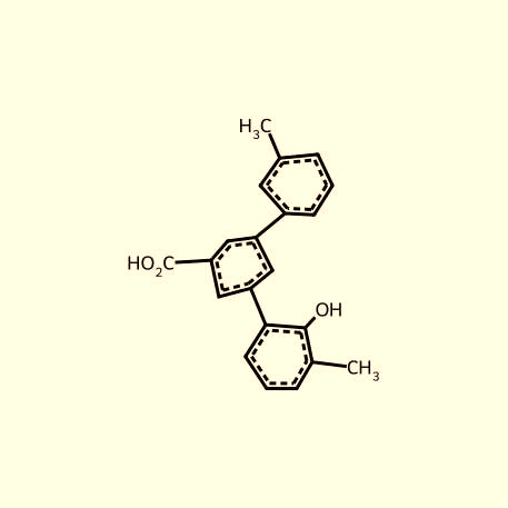 Cc1cccc(-c2cc(C(=O)O)cc(-c3cccc(C)c3O)c2)c1